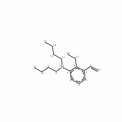 C=Cc1cccc(N(CCCC)CCCC)c1CC